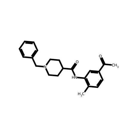 CC(=O)c1ccc(C)c(NC(=O)C2CCN(Cc3ccccc3)CC2)c1